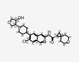 O=C(Nc1cc2cc(C3CCN([C@H]4COC[C@H]4O)CC3)c(Cl)cc2cn1)[C@H]1CC12CCOCC2